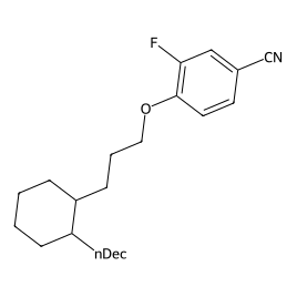 CCCCCCCCCCC1CCCCC1CCCOc1ccc(C#N)cc1F